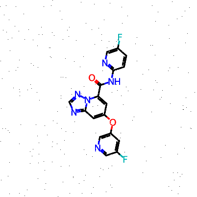 O=C(Nc1ccc(F)cn1)c1cc(Oc2cncc(F)c2)cc2ncnn12